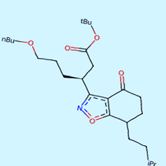 CCCCOCCC[C@@H](CC(=O)OC(C)(C)C)c1noc2c1C(=O)CCC2CCC(C)C